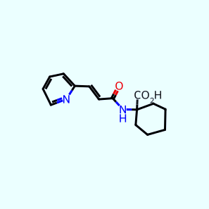 O=C(C=Cc1ccccn1)NC1(C(=O)O)CCCCC1